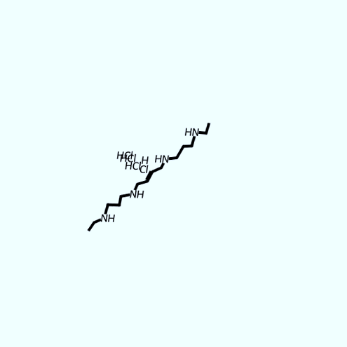 CCNCCCNCC=CCNCCCNCC.Cl.Cl.Cl.Cl